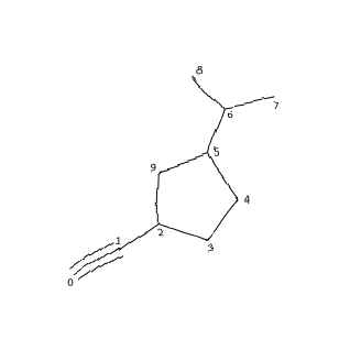 C#CC1CCC(C(C)C)C1